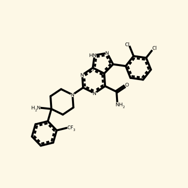 NC(=O)c1nc(N2CCC(N)(c3ccccc3C(F)(F)F)CC2)nc2[nH]nc(-c3cccc(Cl)c3Cl)c12